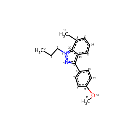 CCCn1nc(-c2ccc(OC)cc2)c2cccc(C)c21